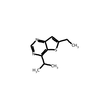 CCc1cc2ncnc(C(C)C)c2s1